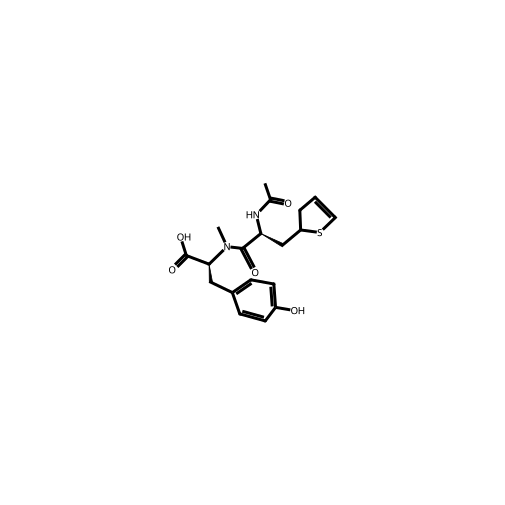 CC(=O)N[C@@H](CC1CC=CS1)C(=O)N(C)[C@@H](Cc1ccc(O)cc1)C(=O)O